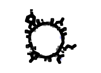 C/C=C(\C)[C@H]1OC(=O)[C@@H](C)NC(=O)[C@H]([C@H](C)CC)NC(=O)CN(C)C(=O)[C@@H](Cc2ccc(F)cc2)N(C)C(=O)[C@H](C)NC(=O)[C@@H](CC(C)C)OC(=O)/C(C)=C/C[C@H](OCSC)[C@@H]1C